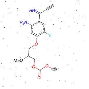 C#CC(=N)c1cc(F)c(OCC(COC(=O)OC(C)(C)C)OC)cc1N